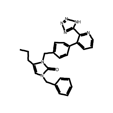 CCCc1cn(Cc2ccccc2)c(=O)n1Cc1ccc(-c2cccnc2-c2nnn[nH]2)cc1